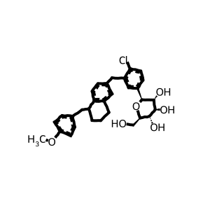 COc1ccc(CC2CCCc3cc(Cc4cc([C@@H]5O[C@H](CO)[C@@H](O)[C@H](O)[C@H]5O)ccc4Cl)ccc32)cc1